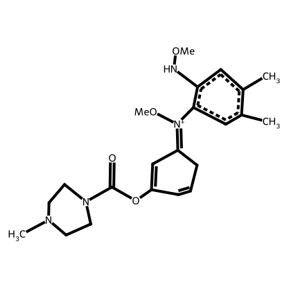 CONc1cc(C)c(C)cc1/[N+](OC)=C1/C=C(OC(=O)N2CCN(C)CC2)C=CC1